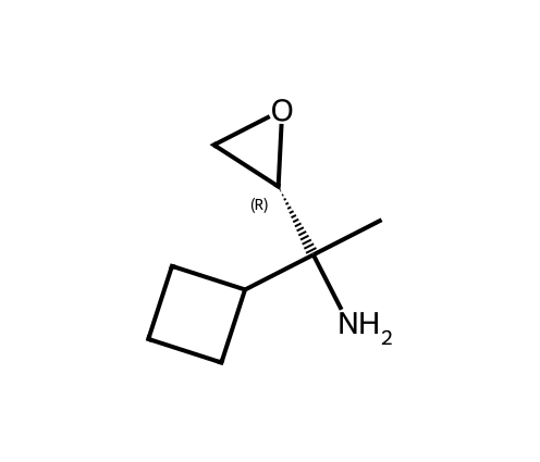 CC(N)(C1CCC1)[C@@H]1CO1